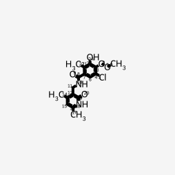 COOc1c(Cl)cc(C(=O)NCc2c(C)cc(C)[nH]c2=O)c(C)c1O